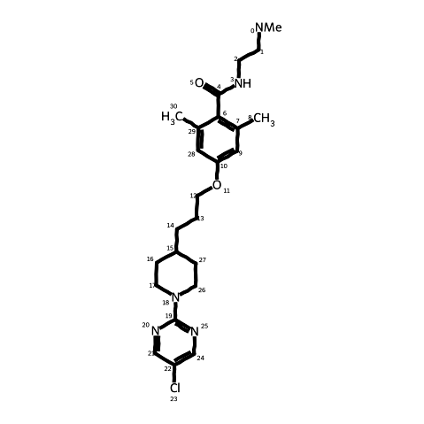 CNCCNC(=O)c1c(C)cc(OCCCC2CCN(c3ncc(Cl)cn3)CC2)cc1C